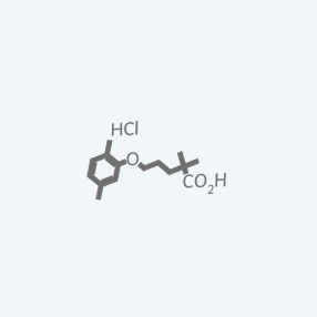 Cc1ccc(C)c(OCCCC(C)(C)C(=O)O)c1.Cl